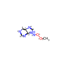 COONn1cnc2cncnc21